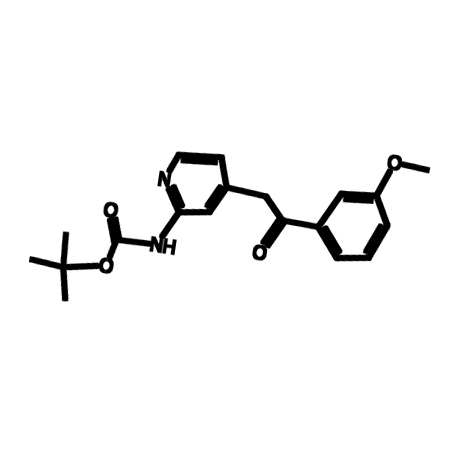 COc1cccc(C(=O)Cc2ccnc(NC(=O)OC(C)(C)C)c2)c1